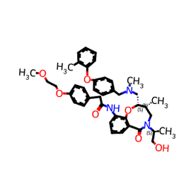 COCCOc1ccc(CC(=O)Nc2cccc3c2O[C@H](CN(C)Cc2ccc(Oc4ccccc4C)cc2)[C@H](C)CN([C@@H](C)CO)C3=O)cc1